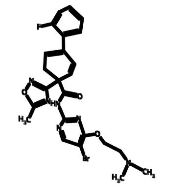 Cc1nc(C2(C(=O)Nc3ncc(Br)c(OCCN(C)C)n3)C=CC(c3ccccc3F)=CC2)no1